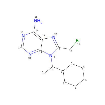 CC(C1CCCCC1)n1c(CBr)nc2c(N)ncnc21